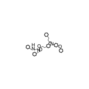 O=C(CCc1ccc2c(c1)c(CCc1ccccc1)cn2-c1ccc(Oc2ccccc2)cc1)ON(CCNCc1ccccc1)Cc1ccccc1